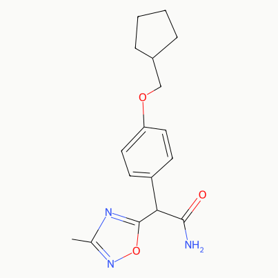 Cc1noc(C(C(N)=O)c2ccc(OCC3CCCC3)cc2)n1